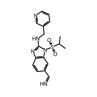 CC(C)S(=O)(=O)n1c(NCc2cccnc2)nc2ccc(C=N)cc21